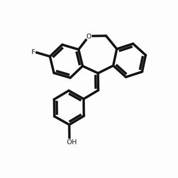 Oc1cccc(/C=C2/c3ccccc3COc3cc(F)ccc32)c1